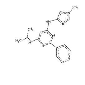 CC(C)Nc1cc(Nc2cn(C)cn2)nc(-c2ccccc2)n1